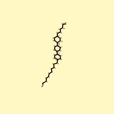 FCCCCCCCCCCC1CCC(C2CCC(C3CCC(CCCCCF)CC3)CC2)CC1